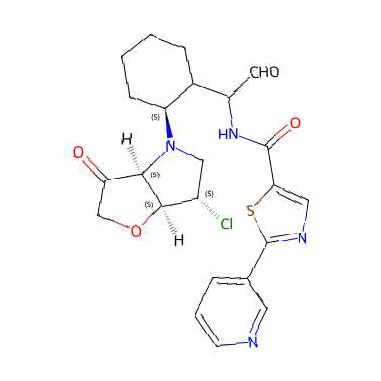 O=CC(NC(=O)c1cnc(-c2cccnc2)s1)C1CCCC[C@@H]1N1C[C@H](Cl)[C@H]2OCC(=O)[C@H]21